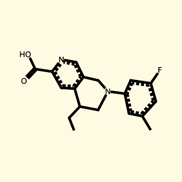 CCC1CN(c2cc(C)cc(F)c2)Cc2cnc(C(=O)O)cc21